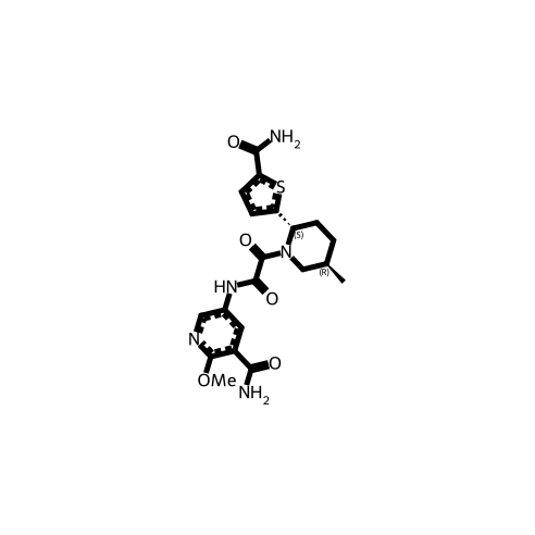 COc1ncc(NC(=O)C(=O)N2C[C@H](C)CC[C@H]2c2ccc(C(N)=O)s2)cc1C(N)=O